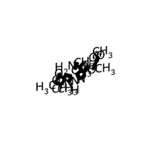 C[C@H](CCS(C)(=O)=O)Oc1ncc(C(C)(C)N)c2cc(Nc3ccc4c(n3)[C@@H](C)C(C)(C)OC4=O)ncc12